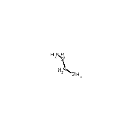 N[SiH2][SiH2][SiH3]